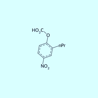 CCCc1cc([N+](=O)[O-])ccc1OC(=O)O